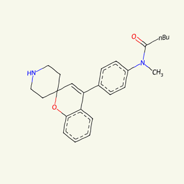 CCCCC(=O)N(C)c1ccc(C2=CC3(CCNCC3)Oc3ccccc32)cc1